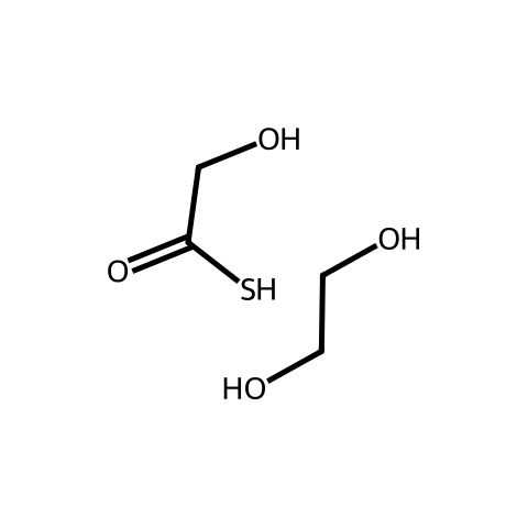 O=C(S)CO.OCCO